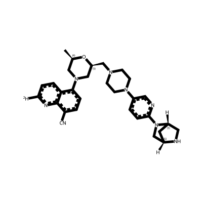 [2H]c1ccc2c(N3C[C@H](CN4CCN(c5ccc(N6C[C@@H]7C[C@H]6CN7)nc5)CC4)O[C@H](C)C3)ccc(C#N)c2n1